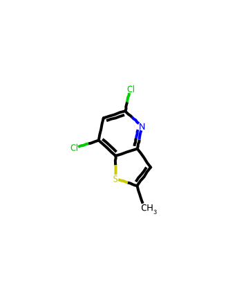 Cc1cc2nc(Cl)cc(Cl)c2s1